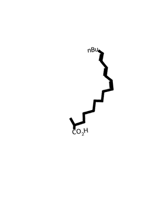 CCCC/C=C/C=C/C=C\CCCCCCC(C)C(=O)O